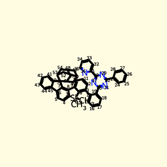 C[Si]1(C)c2ccc3c(c2-c2cccc(-c4ccccc4-c4nc(-c5ccccc5)nc(-c5ccccn5)n4)c21)C1(c2ccccc2-3)C2CC3CC(C2)CC1C3